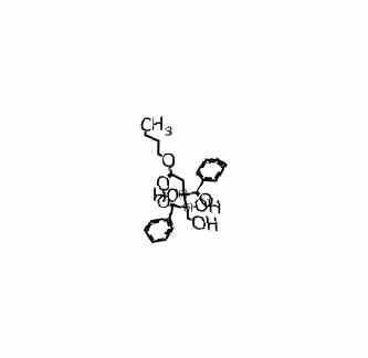 CCCCOC(=O)C[C@](O)(C(=O)c1ccccc1)[C@@](O)(CO)C(=O)c1ccccc1